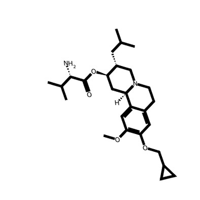 COc1cc2c(cc1OCC1CC1)CCN1C[C@@H](CC(C)C)[C@H](OC(=O)[C@@H](N)C(C)C)C[C@H]21